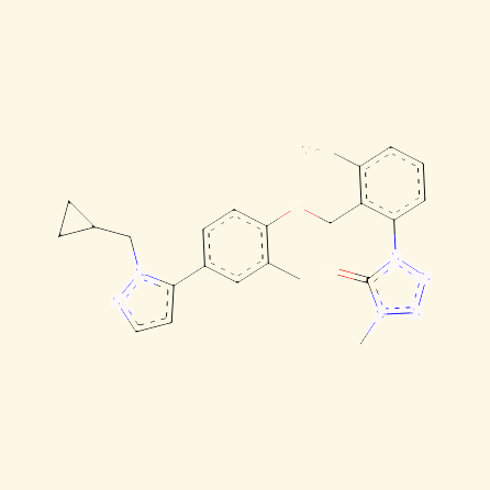 COc1cccc(-n2nnn(C)c2=O)c1COc1ccc(-c2ccnn2CC2CC2)cc1C